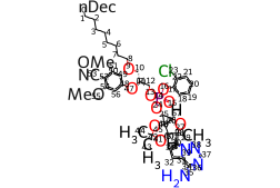 CCCCCCCCCCCCCCCCCCOC[C@H](COP(=O)(Oc1ccccc1Cl)OC1[C@H]2O[C@@](C)(c3ccc4c(N)ncnn34)[C@@H]3OC(C)(C)O[C@]123)Oc1cc(OC)c(C#N)c(OC)c1